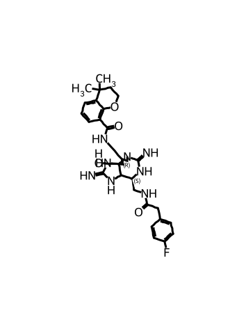 CC1(C)CCOc2c(C(=O)NC3CN4C(=N)N[C@@H](CNC(=O)Cc5ccc(F)cc5)C5NC(=N)NC54[C@@H]3O)cccc21